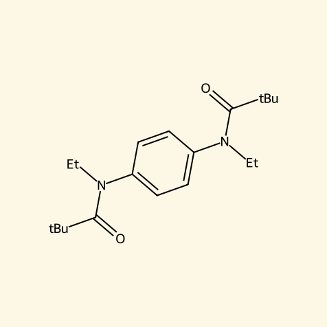 CCN(C(=O)C(C)(C)C)c1ccc(N(CC)C(=O)C(C)(C)C)cc1